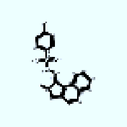 Cc1ccc(S(=O)(=O)O/N=C2/c3c(ccc4ccccc34)CC2C)cc1